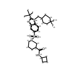 CC(C)(C)c1nc2cc(S(=O)(=O)N3CCCC(C(=O)NC4CCC4)C3)ccc2n1CC1CCC(F)(F)CC1